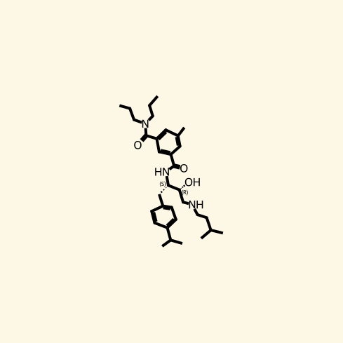 CCCN(CCC)C(=O)c1cc(C)cc(C(=O)N[C@@H](Cc2ccc(C(C)C)cc2)[C@H](O)CNCCC(C)C)c1